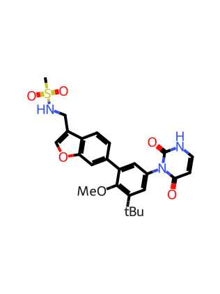 COc1c(-c2ccc3c(CNS(C)(=O)=O)coc3c2)cc(-n2c(=O)cc[nH]c2=O)cc1C(C)(C)C